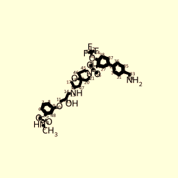 CNS(=O)(=O)c1cccc(OCC(O)CN[C@@H]2COC3(CCN(S(=O)(=O)c4cc(-c5ccc(CN)cc5)ccc4OC(F)(F)F)CC3)C2)c1